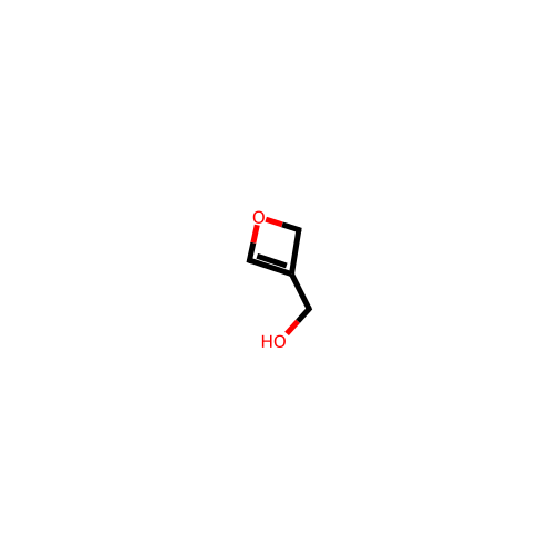 OCC1=COC1